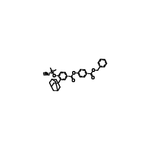 CC(C)(C)[Si](C)(C)Oc1ccc(C(=O)Oc2ccc(C(=O)OCc3ccccc3)cc2)cc1C12CC3CC(CC(C3)C1)C2